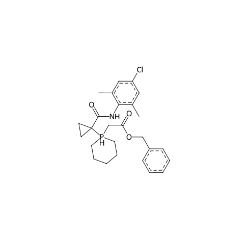 Cc1cc(Cl)cc(C)c1NC(=O)C1([PH]2(CC(=O)OCc3ccccc3)CCCCC2)CC1